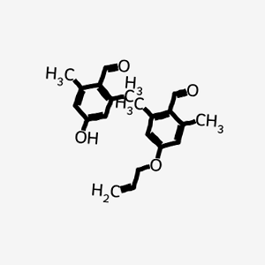 C=CCOc1cc(C)c(C=O)c(C)c1.Cc1cc(O)cc(C)c1C=O